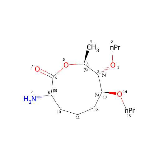 CCCO[C@H]1[C@H](C)OC(=O)[C@@H](N)CCC[C@@H]1OCCC